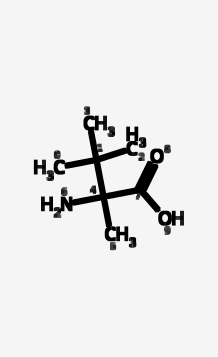 CC(C)(C)C(C)(N)C(=O)O